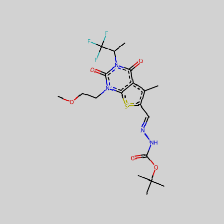 COCCn1c(=O)n(C(C)C(F)(F)F)c(=O)c2c(C)c(/C=N/NC(=O)OC(C)(C)C)sc21